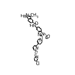 Cc1n[nH]c2ccc(C(=O)Nc3ccc4c(c3)nc(CN3CC=C(c5cccc(OCc6ccc(Cl)cn6)n5)CC3)n4C[C@@H]3CCO3)cc12